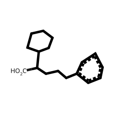 O=C(O)C(CCCc1ccccc1)C1CCCCC1